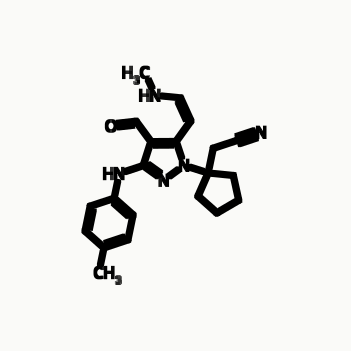 CN/C=C\c1c(C=O)c(Nc2ccc(C)cc2)nn1C1(CC#N)CCCC1